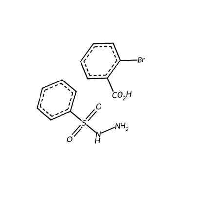 NNS(=O)(=O)c1ccccc1.O=C(O)c1ccccc1Br